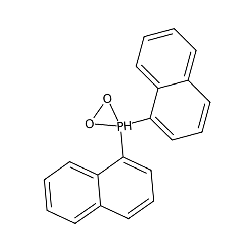 c1ccc2c([PH]3(c4cccc5ccccc45)OO3)cccc2c1